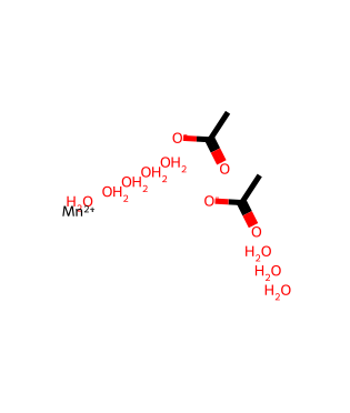 CC(=O)[O-].CC(=O)[O-].O.O.O.O.O.O.O.O.[Mn+2]